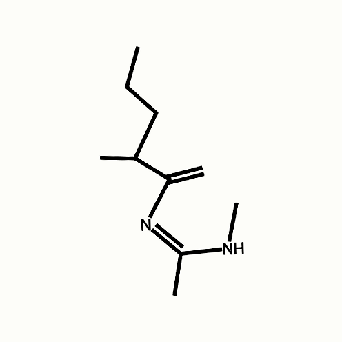 C=C(/N=C(/C)NC)C(C)CCC